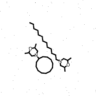 CC1CN(C2CCCCCCCCCCC2)CC(C)O1.CCCCCCCCCCCCCN1CC(C)OC(C)C1